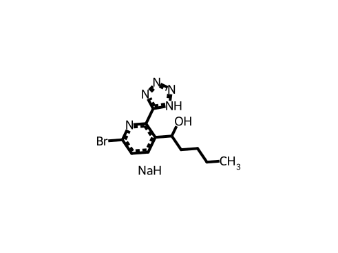 CCCCC(O)c1ccc(Br)nc1-c1nnn[nH]1.[NaH]